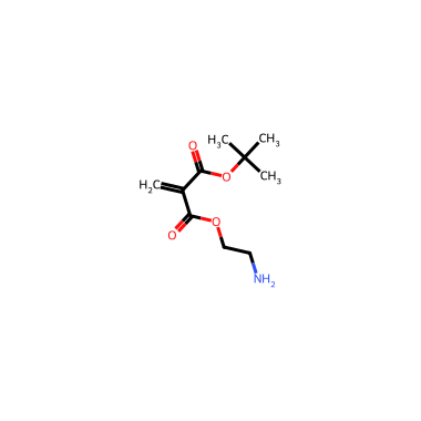 C=C(C(=O)OCCN)C(=O)OC(C)(C)C